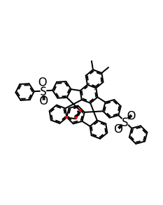 Cc1cc2c3c(c4c(c2cc1C)-c1ccc(S(=O)(=O)c2ccccc2)cc1C41c2ccccc2-c2ccccc21)C1(c2ccccc2-c2ccccc21)c1cc(S(=O)(=O)c2ccccc2)ccc1-3